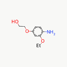 CCOc1cc(OCCO)ccc1N